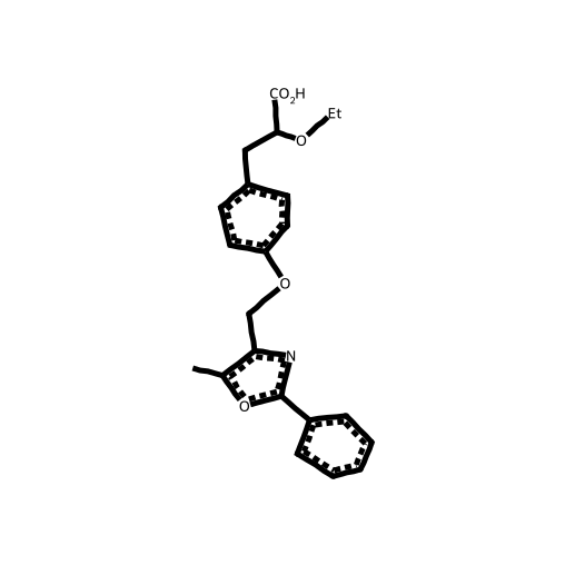 CCOC(Cc1ccc(OCc2nc(-c3ccccc3)oc2C)cc1)C(=O)O